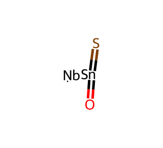 [Nb].[O]=[Sn]=[S]